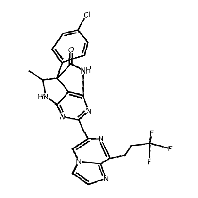 CC1Nc2nc(-c3cn4ccnc4c(CCC(F)(F)F)n3)nc3c2C1(c1ccc(Cl)cc1)C(=O)N3